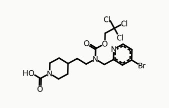 O=C(O)N1CCC(CCN(Cc2cc(Br)ccn2)C(=O)OCC(Cl)(Cl)Cl)CC1